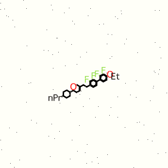 CCCC1CCC(C2CC=C(CCc3ccc(-c4ccc(OCC)c(F)c4F)c(F)c3F)CO2)CC1